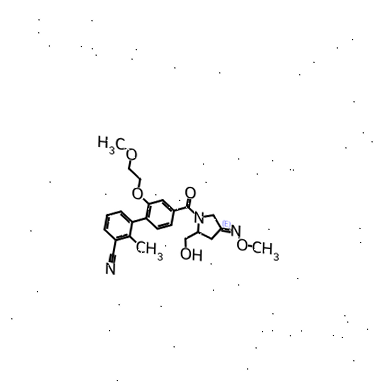 COCCOc1cc(C(=O)N2C/C(=N/OC)CC2CO)ccc1-c1cccc(C#N)c1C